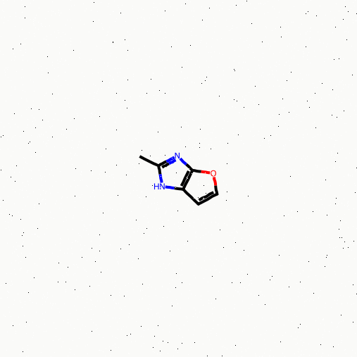 Cc1nc2occc2[nH]1